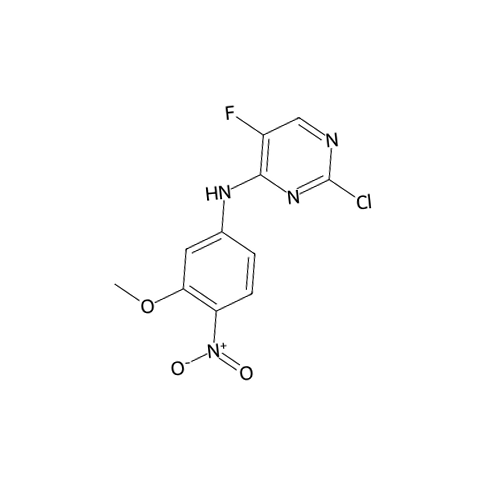 COc1cc(Nc2nc(Cl)ncc2F)ccc1[N+](=O)[O-]